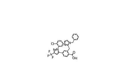 O=C(O)c1ccc(-c2cc(C(F)(F)F)nn2-c2ccccc2Cl)cc1Cc1nccn1Cc1ccccc1